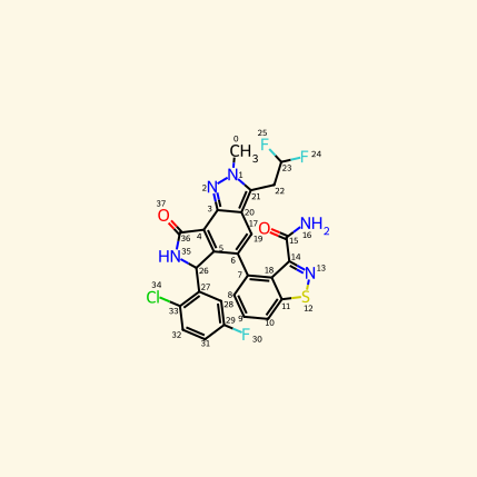 Cn1nc2c3c(c(-c4cccc5snc(C(N)=O)c45)cc2c1CC(F)F)C(c1cc(F)ccc1Cl)NC3=O